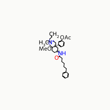 C=CC[N@@+]1(C)CC[C@@]2(c3cccc(OC(C)=O)c3)C[C@@H](NC(=O)CCCCCc3ccccc3)CCC2(OC)C1